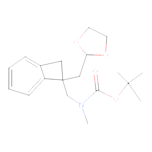 CN(CC1(CC2OCCO2)Cc2ccccc21)C(=O)OC(C)(C)C